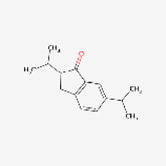 CC(C)c1ccc2c(c1)C(=O)C(C(C)C)C2